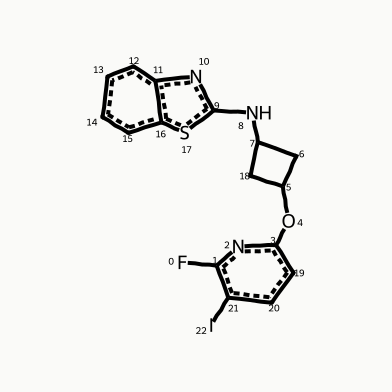 Fc1nc(OC2CC(Nc3nc4ccccc4s3)C2)ccc1I